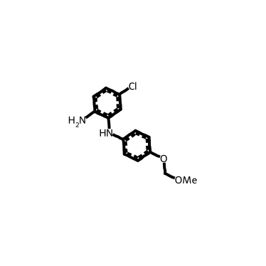 COCOc1ccc(Nc2cc(Cl)ccc2N)cc1